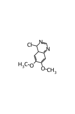 COC1=CC2=NC=NC(Cl)C2C=C1OC